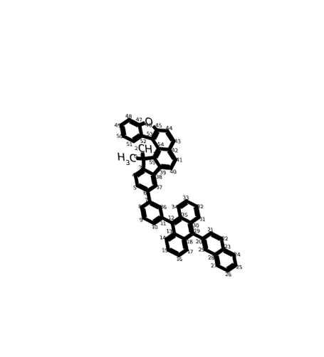 CC1(C)c2ccc(-c3cccc(-c4c5ccccc5c(-c5ccc6ccccc6c5)c5ccccc45)c3)cc2-c2ccc3ccc4oc5ccccc5c4c3c21